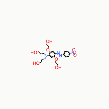 O=[N+]([O-])c1ccc(N=Nc2cc(OCCO)c(N(CCCO)CCCO)cc2OCCO)cc1